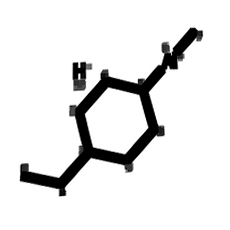 CCC1CC[CH]([Al+][CH3])CC1.[H-]